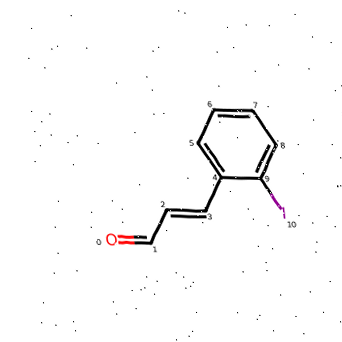 O=CC=Cc1ccccc1I